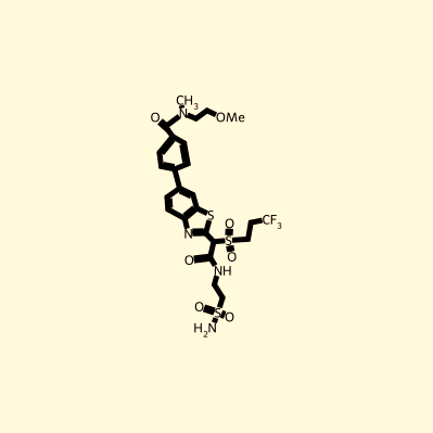 COCCN(C)C(=O)c1ccc(-c2ccc3nc(C(C(=O)NCCS(N)(=O)=O)S(=O)(=O)CCC(F)(F)F)sc3c2)cc1